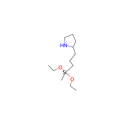 CCO[Si](C)(CCCC1CCCN1)OCC